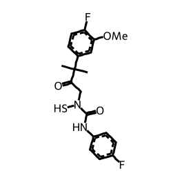 COc1cc(C(C)(C)C(=O)CN(S)C(=O)Nc2ccc(F)cc2)ccc1F